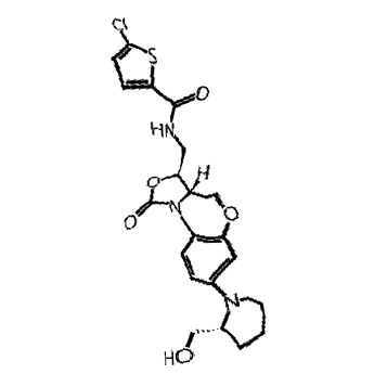 O=C(NC[C@@H]1OC(=O)N2c3ccc(N4CCC[C@@H]4CO)cc3OC[C@@H]12)c1ccc(Cl)s1